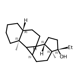 CC[C@]1(O)CC[C@H]2C34CC[C@H]5CCCC[C@]5(C)C3[C@@H]4CC[C@@]21C